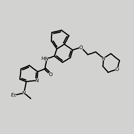 CCN(C)c1cccc(C(=O)Nc2ccc(OCCN3CCOCC3)c3ccccc23)n1